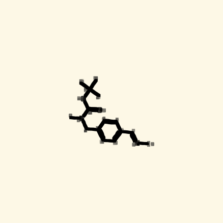 CN(Cc1ccc(/C=N/I)cc1)C(=O)OC(C)(C)C